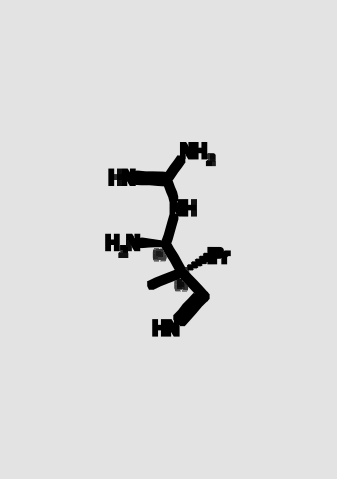 CC(C)[C@@](C)(C=N)[C@@H](N)NC(=N)N